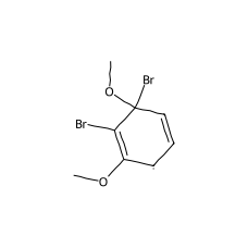 COC1=C(Br)C(Br)(OC)C=C[CH]1